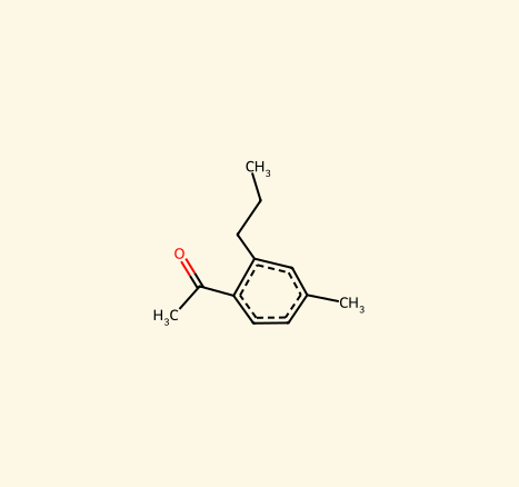 CCCc1cc(C)ccc1C(C)=O